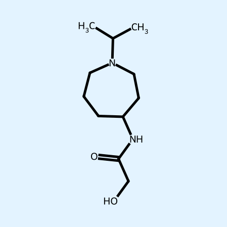 CC(C)N1CCCC(NC(=O)CO)CC1